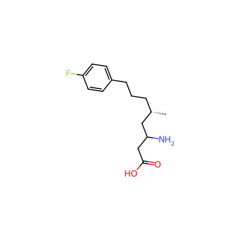 C[C@@H](CCCc1ccc(F)cc1)CC(N)CC(=O)O